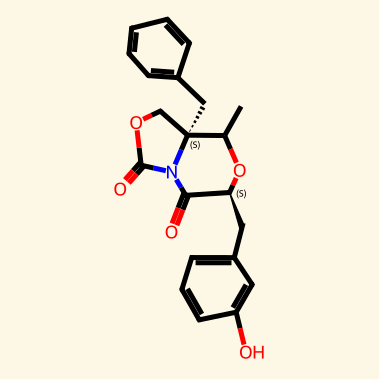 CC1O[C@@H](Cc2cccc(O)c2)C(=O)N2C(=O)OC[C@@]12Cc1ccccc1